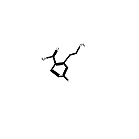 NCCc1cc(I)ccc1C(N)=O